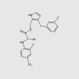 CC(C)C(Nc1ccc(C(F)(F)F)cc1F)C(=O)OCc1[nH]ccc1Cc1cccc(F)c1